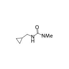 CNC(=O)NCC1CC1